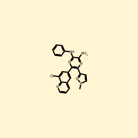 Cn1ccc(-c2nc(N)c(Nc3ccccc3)nc2-c2cc(Cl)c3ncccc3c2)n1